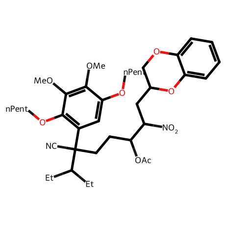 CCCCCOc1cc(C(C#N)(CCC(OC(C)=O)C(CC2COc3ccccc3O2)[N+](=O)[O-])C(CC)CC)c(OCCCCC)c(OC)c1OC